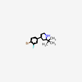 CC(C)(C)C1CC(c2ccc(Br)c(F)c2)=CCN1